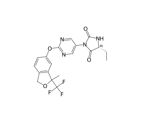 CC[C@H]1NC(=O)N(c2cnc(Oc3ccc4c(c3)C(C)(C(F)(F)F)OC4)nc2)C1=O